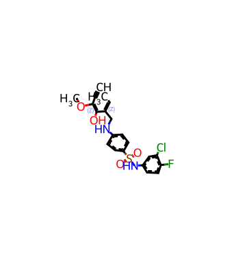 C#C/C(OC)=C(O)\C(=C/C)CNc1ccc(S(=O)(=O)Nc2ccc(F)c(Cl)c2)cc1